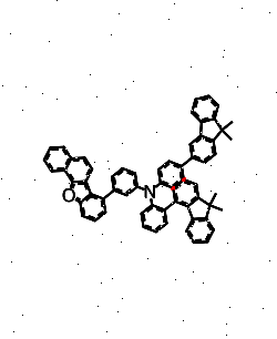 CC1(C)c2ccccc2-c2cc(-c3ccc(N(c4cccc(-c5cccc6oc7c8ccccc8ccc7c56)c4)c4ccccc4-c4cccc5c4-c4ccccc4C5(C)C)cc3)ccc21